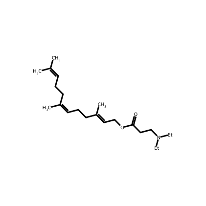 CCN(CC)CCC(=O)OC/C=C(\C)CC/C=C(/C)CCC=C(C)C